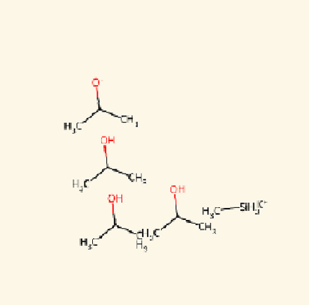 CC(C)O.CC(C)O.CC(C)O.CC(C)[O-].C[SiH3].[K+]